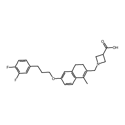 CC1=C(CN2CC(C(=O)O)C2)CCc2cc(OCCCc3ccc(F)c(F)c3)ccc21